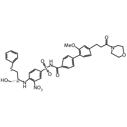 COc1cc(CCC(=O)N2CCOCC2)ccc1-c1ccc(C(=O)NS(=O)(=O)c2ccc(N[C@H](CO)CSc3ccccc3)c([N+](=O)[O-])c2)cc1